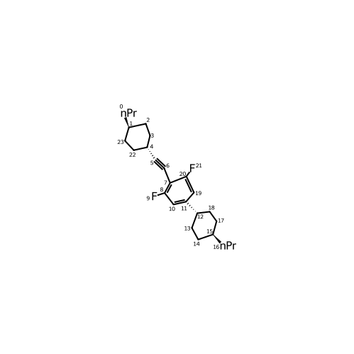 CCC[C@H]1CC[C@H](C#Cc2c(F)cc([C@H]3CC[C@H](CCC)CC3)cc2F)CC1